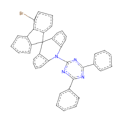 Brc1cccc2c1-c1ccccc1C21c2ccccc2N(c2nc(-c3ccccc3)nc(-c3ccccc3)n2)c2ccccc21